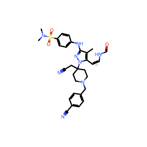 Cc1c(Nc2ccc(S(=O)(=O)N(C)C)cc2)nn(C2(CC#N)CCN(Cc3ccc(C#N)cc3)CC2)c1/C=C\NC=O